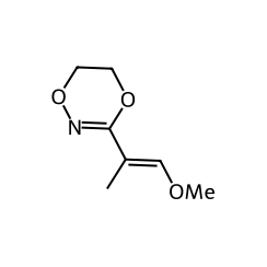 COC=C(C)C1=NOCCO1